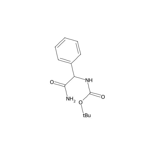 CC(C)(C)OC(=O)NC(C(N)=O)c1ccccc1